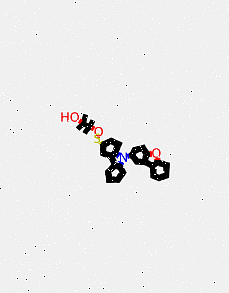 CC(C)(O)C(C)(C)OSc1ccc2c(c1)c1ccccc1n2-c1ccc2oc3ccccc3c2c1